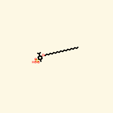 CCCCCCCCCCCCCCCCCCCCOc1cc(C)c(S(=O)(=O)O)cc1C(C)C